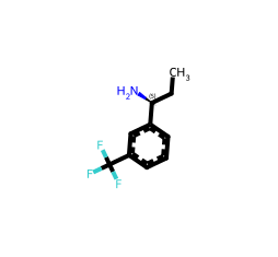 CC[C@H](N)c1cccc(C(F)(F)F)c1